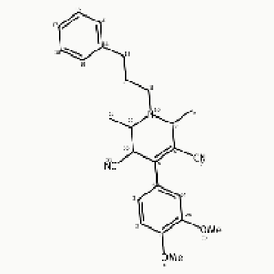 COc1ccc(C2=C(C#N)C(C)N(CCCc3ccccc3)C(C)C2C#N)cc1OC